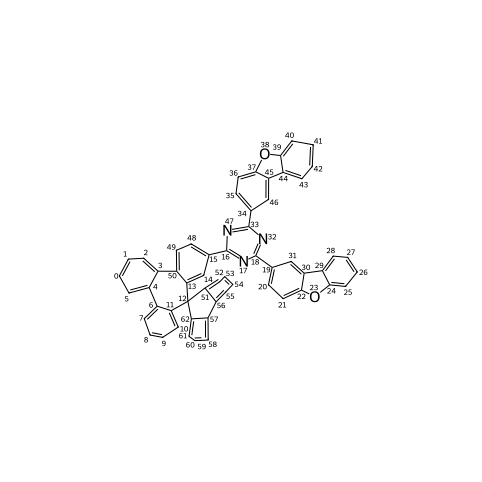 c1ccc2c(c1)-c1ccccc1C1(c3cc(-c4nc(-c5ccc6oc7ccccc7c6c5)nc(-c5ccc6oc7ccccc7c6c5)n4)ccc3-2)c2ccccc2-c2ccccc21